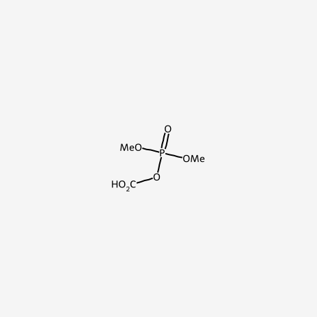 COP(=O)(OC)OC(=O)O